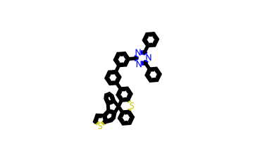 c1ccc(-c2nc(-c3ccccc3)nc(-c3cccc(-c4cccc(-c5ccc6c(c5)C5(c7ccccc7S6)c6ccccc6-c6c5ccc5sccc65)c4)c3)n2)cc1